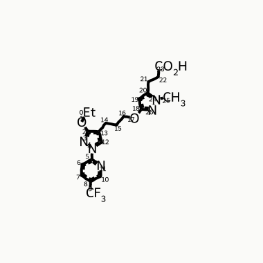 CCOc1nn(-c2ccc(C(F)(F)F)cn2)cc1CCCOc1cc(CCC(=O)O)n(C)n1